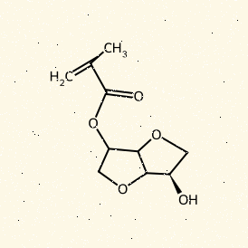 C=C(C)C(=O)OC1COC2C1OC[C@H]2O